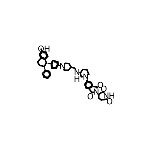 O=C1CCC(N2C(=O)c3ccc(N4CCC[C@H](NCC5CCN(c6ccc([C@@H]7c8ccc(O)cc8CC[C@@H]7c7ccccc7)cc6)CC5)C4)cc3C2=O)C(=O)N1